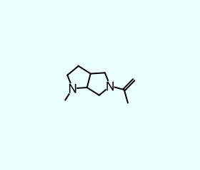 C=C(C)N1CC2CCN(C)C2C1